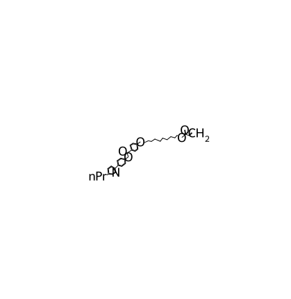 C=CC(=O)OCCCCCCCCCCOc1ccc(C(=O)Oc2ccc(-c3ccc(CCC)cn3)cc2)cc1